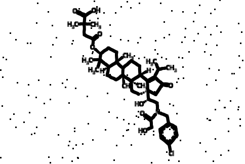 CC(C)C1=C2[C@H]3CCC4[C@@]5(C)CC[C@H](OC(=O)CC(C)(C)C(=O)O)C(C)(C)[C@@H]5CC[C@@]4(C)[C@]3(C)CC[C@@]2([C@@H](O)CN(Cc2ccc(Cl)cc2)C(=O)CO)CC1=O